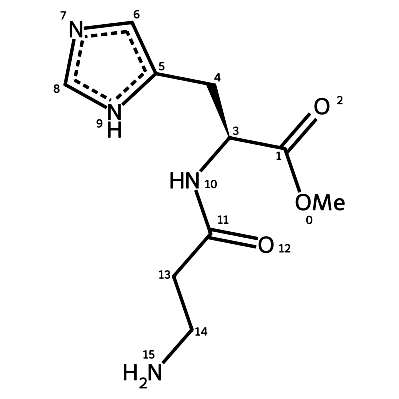 COC(=O)[C@H](Cc1cnc[nH]1)NC(=O)CCN